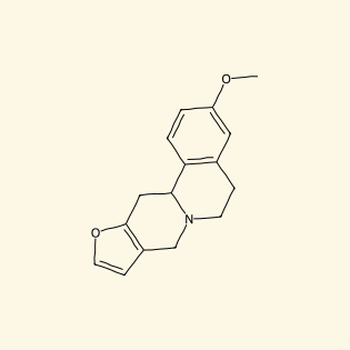 COc1ccc2c(c1)CCN1Cc3ccoc3CC21